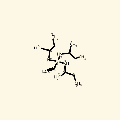 C=C[Si](NC(C)CC)(NC(C)CC)NC(C)CC